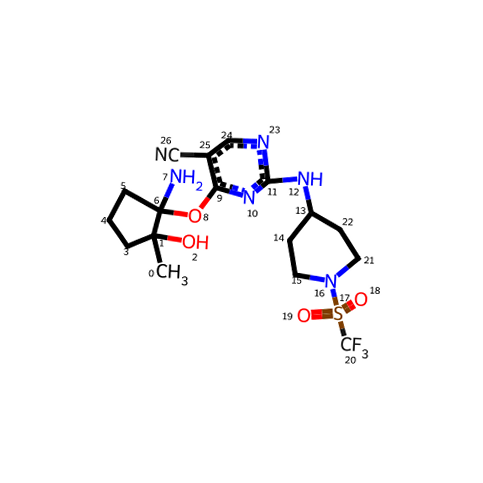 CC1(O)CCCC1(N)Oc1nc(NC2CCN(S(=O)(=O)C(F)(F)F)CC2)ncc1C#N